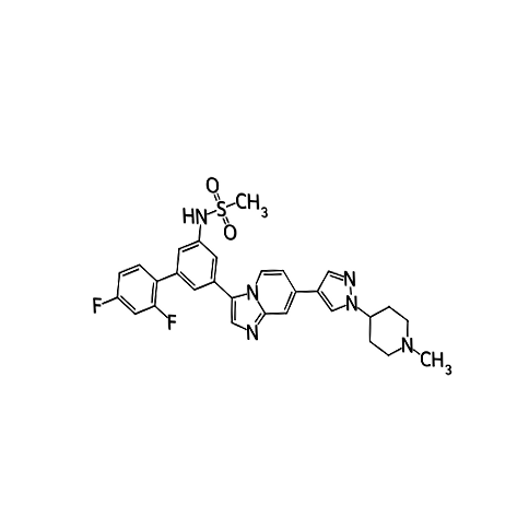 CN1CCC(n2cc(-c3ccn4c(-c5cc(NS(C)(=O)=O)cc(-c6ccc(F)cc6F)c5)cnc4c3)cn2)CC1